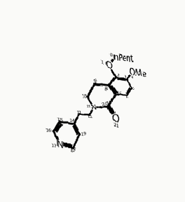 CCCCCOc1c(OC)ccc2c1CCN(CCc1ccncc1)C2=O